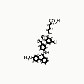 Cc1ccc(-c2ccccc2C(=O)Nc2ccc(C(=O)N(C)c3ccc(Cl)cc3OCCCCCC(=O)O)cc2)cc1